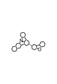 c1ccc2cc3c(cc2c1)c1cc(-c2ccc4oc5ccccc5c4c2)cc2c4ccccc4n3c21